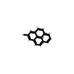 Cc1cc2ccc3cccc4ccc(c1)c2c34